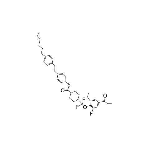 CCCCCCc1ccc(CCc2ccc(SC(=O)C3CCC(C(F)(F)Oc4c(F)cc(C(=O)CC)cc4CC)CC3)cc2)cc1